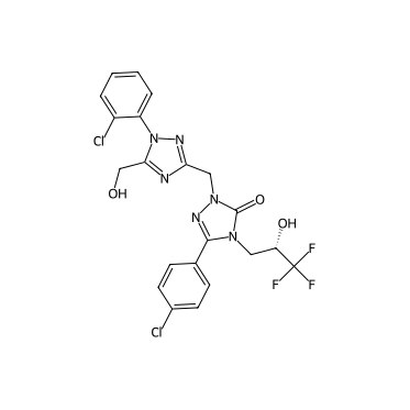 O=c1n(Cc2nc(CO)n(-c3ccccc3Cl)n2)nc(-c2ccc(Cl)cc2)n1C[C@H](O)C(F)(F)F